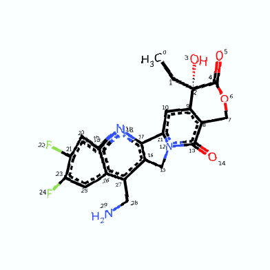 CC[C@@]1(O)C(=O)OCc2c1cc1n(c2=O)Cc2c-1nc1cc(F)c(F)cc1c2CN